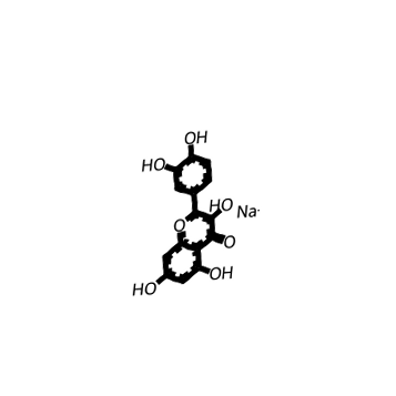 O=c1c(O)c(-c2ccc(O)c(O)c2)oc2cc(O)cc(O)c12.[Na]